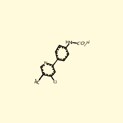 CC(=O)c1cnc(-c2ccc(NC(=O)O)cc2)cc1Cl